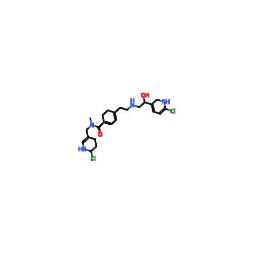 CN(CC1=CNC(Cl)CC1)C(=O)C1=CC=C(CCNCC(O)C2=CC=C(Cl)NC2)CC1